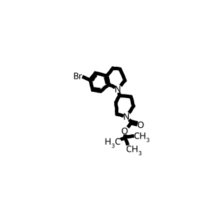 CC(C)(C)OC(=O)N1CCC(N2CCCc3cc(Br)ccc32)CC1